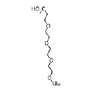 CC(C)(C)OCCOCCOCCOCCC(=O)O